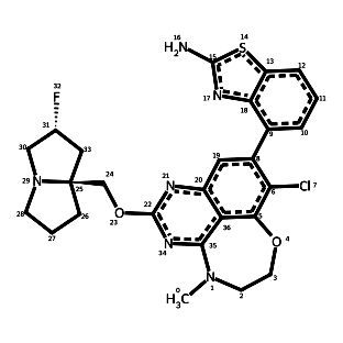 CN1CCOc2c(Cl)c(-c3cccc4sc(N)nc34)cc3nc(OC[C@@]45CCCN4C[C@H](F)C5)nc1c23